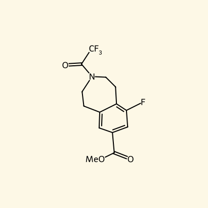 COC(=O)c1cc(F)c2c(c1)CCN(C(=O)C(F)(F)F)CC2